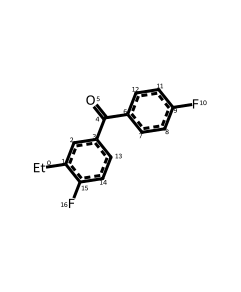 CCc1cc(C(=O)c2ccc(F)cc2)ccc1F